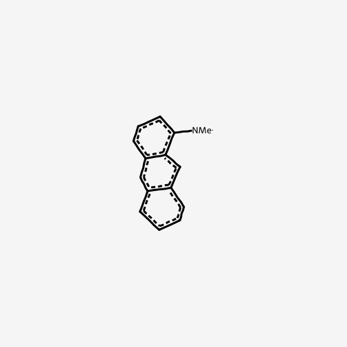 C[N]c1cccc2cc3ccccc3cc12